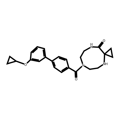 O=C(c1ccc(-c2cccc(OC3CC3)c2)cc1)N1CCNC(=O)C2(CC2)NCC1